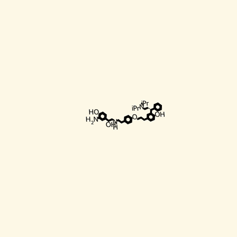 CC(C)N(CC[C@H](c1ccccc1)c1cc(CCCOc2ccc(CCNC[C@H](O)c3ccc(O)c(N)c3)cc2)ccc1O)C(C)C